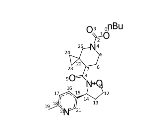 CCCCOC(=O)N1CCC(C(=O)N2OCC[C@H]2c2ccc(C)nc2)C2(CC2)C1